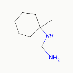 CC1(NCN)CCCCC1